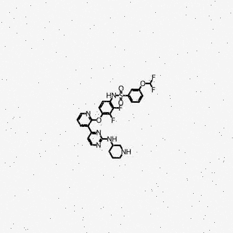 O=S(=O)(Nc1ccc(Oc2ncccc2-c2ccnc(NC3CCCNC3)n2)c(F)c1F)c1cccc(OC(F)F)c1